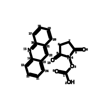 O=C(O)ON1C(=O)CCC1=O.c1ccc2nc3ccccc3cc2c1